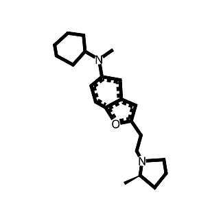 C[C@@H]1CCCN1CCc1cc2cc(N(C)C3CCCCC3)ccc2o1